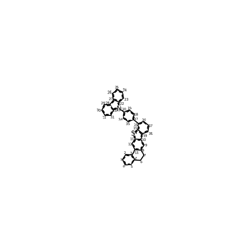 c1ccc2c(c1)CCc1cc3c(cc1-2)sc1c(-c2ccc(-n4c5ccccc5c5ccccc54)cc2)cccc13